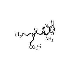 NCCN(CCC(=O)O)C(=O)CN1C=Nc2[nH]cnc2C1N